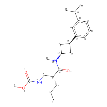 CCC[C@H](CNC(=O)OC)C(=O)N(C)[C@H]1C[C@@H](c2cccc(C(C)C)c2)C1